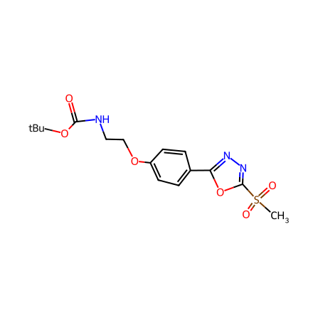 CC(C)(C)OC(=O)NCCOc1ccc(-c2nnc(S(C)(=O)=O)o2)cc1